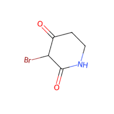 O=C1CCNC(=O)C1Br